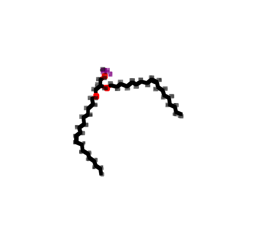 CCCCCCCC/C=C\CCCCCCCCOCC(COP)OCCCCCCCC/C=C\CCCCCCCC